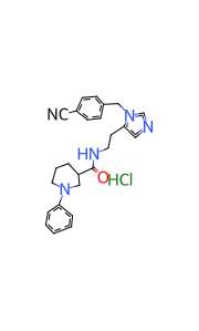 Cl.N#Cc1ccc(Cn2cncc2CCNC(=O)C2CCCN(c3ccccc3)C2)cc1